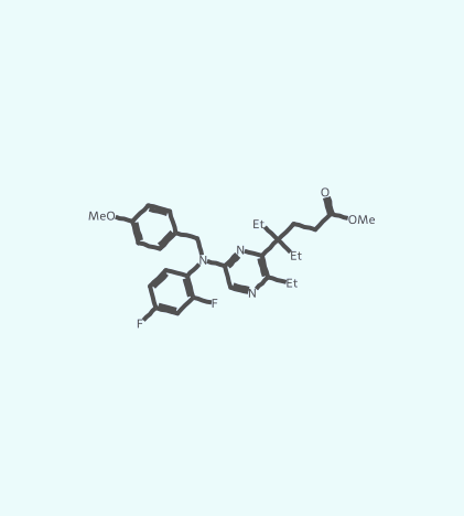 CCc1ncc(N(Cc2ccc(OC)cc2)c2ccc(F)cc2F)nc1C(CC)(CC)CCC(=O)OC